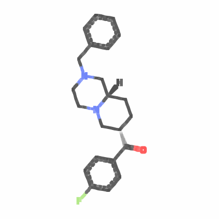 O=C(c1ccc(F)cc1)[C@H]1CC[C@H]2CN(Cc3ccccc3)CCN2C1